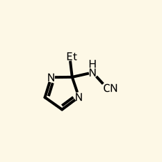 CCC1(NC#N)N=CC=N1